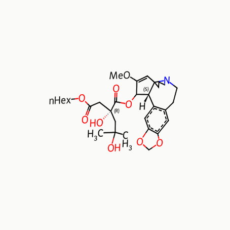 CCCCCCOC(=O)C[C@](O)(CC(C)(C)O)C(=O)OC1C(OC)=CC23CCCN2CCc2cc4c(cc2[C@H]13)OCO4